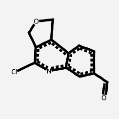 O=Cc1ccc2c3c(c(Cl)nc2c1)COC3